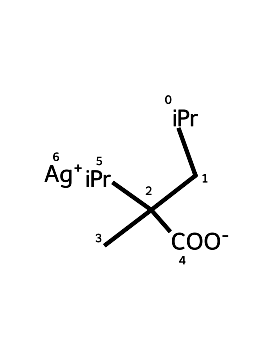 CC(C)CC(C)(C(=O)[O-])C(C)C.[Ag+]